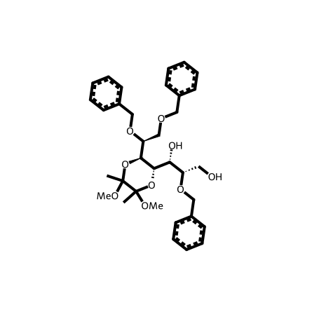 COC1(C)O[C@@H]([C@H](COCc2ccccc2)OCc2ccccc2)[C@H]([C@H](O)[C@H](CO)OCc2ccccc2)OC1(C)OC